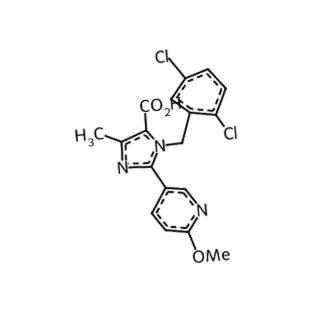 COc1ccc(-c2nc(C)c(C(=O)O)n2Cc2cc(Cl)ccc2Cl)cn1